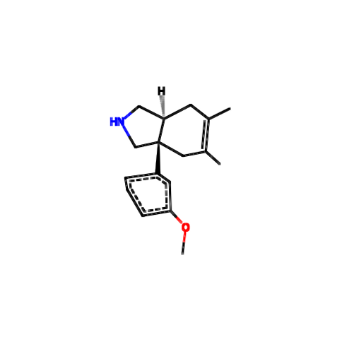 COc1cccc([C@@]23CNC[C@H]2CC(C)=C(C)C3)c1